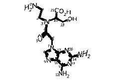 NCCN(C(=O)Cn1cnc2c(N)nc(N)nc21)C(CO)C(=O)O